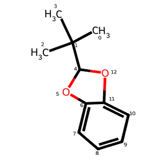 CC(C)(C)C1Oc2ccccc2O1